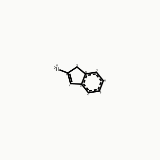 [2H]C1=Cc2ccccc2C1